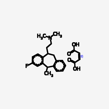 CC1c2ccccc2CC(CCN(C)C)c2ccc(F)cc21.O=C(O)/C=C\C(=O)O